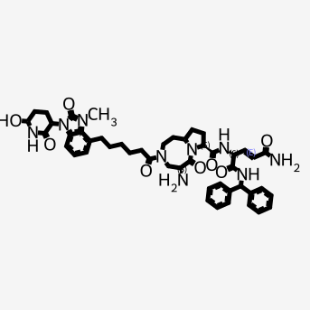 Cn1c(=O)n(C2CCC(O)NC2=O)c2cccc(CCCCCC(=O)N3CCC4CC[C@@H](C(=O)N[C@@H](/C=C/C(N)=O)C(=O)NC(c5ccccc5)c5ccccc5)N4C(=O)[C@@H](N)C3)c21